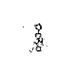 Nc1nn2cc(-c3ccncn3)cnc2c1C(=O)N1CCC[C@H]1CO